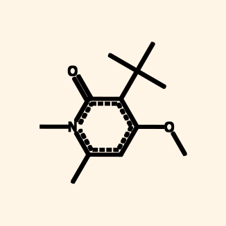 COc1cc(C)n(C)c(=O)c1C(C)(C)C